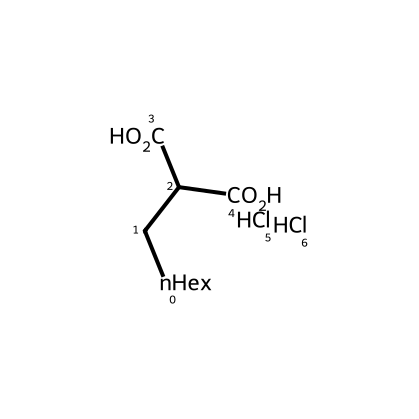 CCCCCCCC(C(=O)O)C(=O)O.Cl.Cl